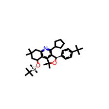 CC1(C)Cc2nc(C3CCCC3)c3c(c2C(O[Si](C)(C)C(C)(C)C)C1)C(C)(C)O[C@@H]3c1ccc(C(C)(C)C)cc1